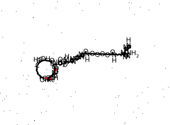 CO[C@H]1C[C@@H]2CC[C@@H](C)[C@@](O)(O2)C(=O)C(=O)N2CCCC[C@H]2C(=O)O[C@H]([C@H](N)C[C@@H]2CC[C@@H](OC(=O)NCc3cnc(N4CCN(c5ncc(C(=O)NCCOCCOCCOCCOCCC(=O)NCCCCn6nc(-c7cnc8[nH]ccc8c7)c7c(N)ncnc76)cn5)CC4)nc3)[C@H](OC)C2)CC(=O)[C@H](C)/C=C(\C)[C@@H](O)[C@@H](O)C(=O)[C@H](C)C[C@H](C)/C=C/C=C/C=C/1C